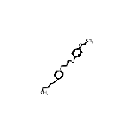 CCCCC[C@H]1CC[C@H](CCCOc2ccc(OCC)cc2)CC1